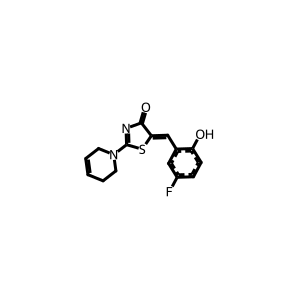 O=C1N=C(N2CC=CCC2)SC1=Cc1cc(F)ccc1O